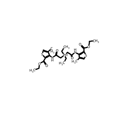 CCOC(=O)c1scc(C)c1NC(=O)C[PH](CC)(CC)CC(=O)Nc1c(C)csc1C(=O)OCC